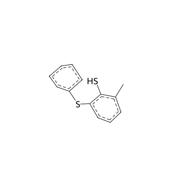 Cc1cccc(Sc2ccccc2)c1S